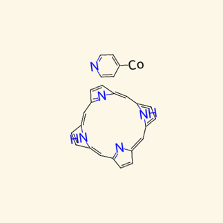 C1=Cc2cc3ccc(cc4nc(cc5ccc(cc1n2)[nH]5)C=C4)[nH]3.[Co][c]1ccncc1